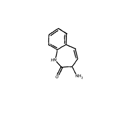 NC1C=Cc2ccccc2NC1=O